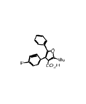 CC(C)(C)c1oc(-c2ccccc2)c(-c2ccc(F)cc2)c1C(=O)O